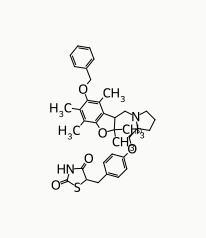 Cc1c(C)c2c(c(C)c1OCc1ccccc1)C(CN1CCC[C@H]1COc1ccc(CC3SC(=O)NC3=O)cc1)C(C)(C)O2